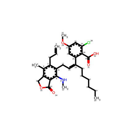 C=CCc1c(C)c2c(c(NC)c1C/C=C(/CCCCCC)c1cc(OC)cc(Cl)c1C(=O)O)C(=O)OC2